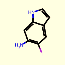 Nc1cc2[nH]ccc2cc1I